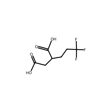 O=C(O)CC(CCC(F)(F)F)C(=O)O